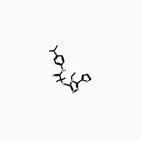 CCn1c(SC(C)(C)C(=O)Nc2ccc(C(C)C)cc2)nnc1-c1cccs1